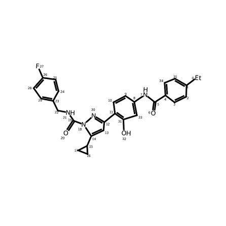 CCc1ccc(C(=O)Nc2ccc(-c3cc(C4CC4)n(C(=O)NCc4ccc(F)cc4)n3)c(O)c2)cc1